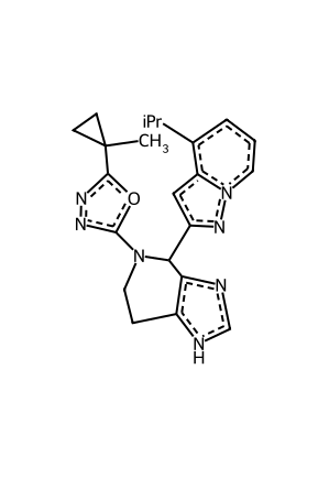 CC(C)c1cccn2nc(C3c4nc[nH]c4CCN3c3nnc(C4(C)CC4)o3)cc12